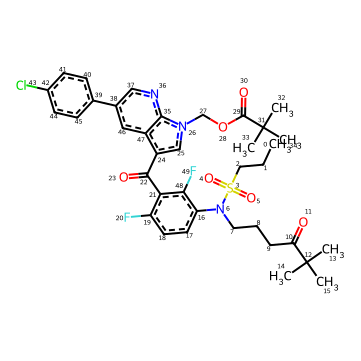 CCCS(=O)(=O)N(CCCC(=O)C(C)(C)C)c1ccc(F)c(C(=O)c2cn(COC(=O)C(C)(C)C)c3ncc(-c4ccc(Cl)cc4)cc23)c1F